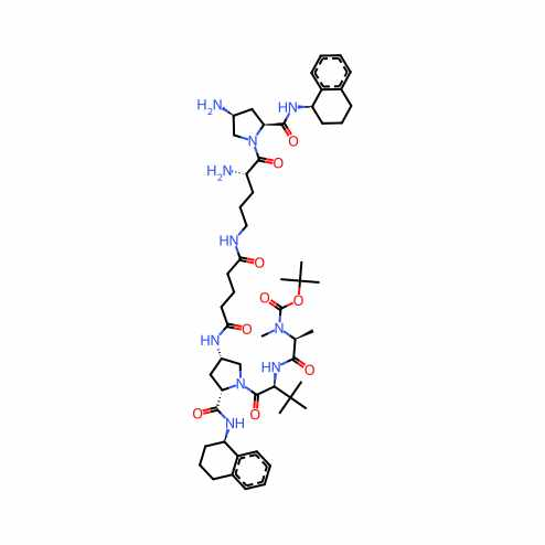 C[C@@H](C(=O)N[C@H](C(=O)N1C[C@@H](NC(=O)CCCC(=O)NCCC[C@H](N)C(=O)N2C[C@@H](N)C[C@H]2C(=O)N[C@@H]2CCCc3ccccc32)C[C@H]1C(=O)N[C@@H]1CCCc2ccccc21)C(C)(C)C)N(C)C(=O)OC(C)(C)C